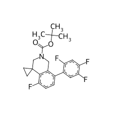 CC(C)(C)OC(=O)N1Cc2c(-c3cc(F)c(F)cc3F)ccc(F)c2C2(CC2)C1